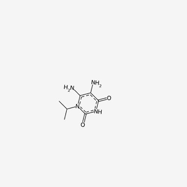 CC(C)n1c(N)c(N)c(=O)[nH]c1=O